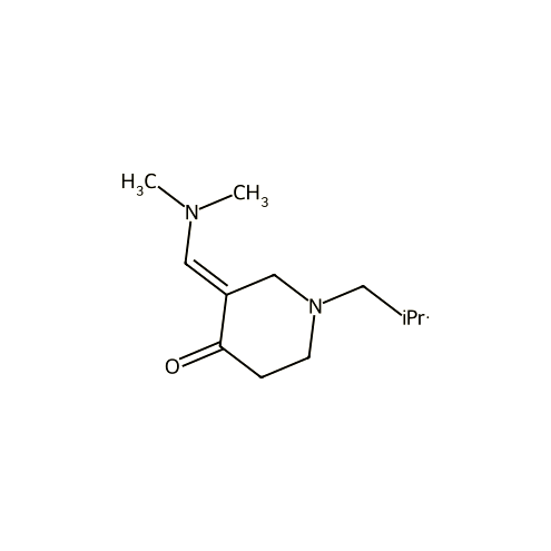 C[C](C)CN1CCC(=O)C(=CN(C)C)C1